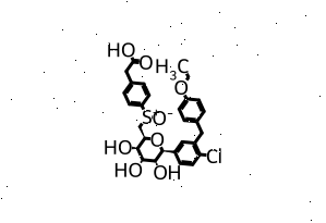 CCOc1ccc(Cc2cc([C@@H]3O[C@H](C[S+]([O-])c4ccc(CC(=O)O)cc4)[C@H](O)[C@@H](O)[C@H]3O)ccc2Cl)cc1